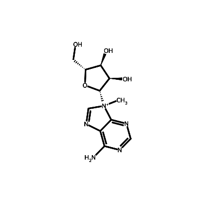 C[N+]1([C@@H]2O[C@H](CO)[C@@H](O)[C@H]2O)C=Nc2c(N)ncnc21